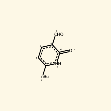 CCCCc1ccc(C=O)c(=O)[nH]1